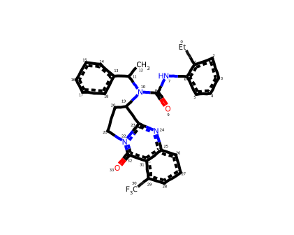 CCc1ccccc1NC(=O)N(C(C)c1ccccc1)C1CCn2c1nc1cccc(C(F)(F)F)c1c2=O